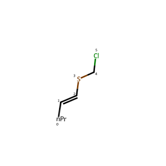 CCCC=CSCCl